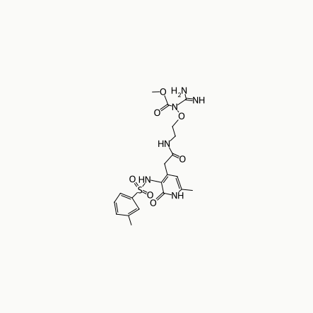 COC(=O)N(OCCNC(=O)Cc1cc(C)[nH]c(=O)c1NS(=O)(=O)c1cccc(C)c1)C(=N)N